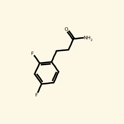 NC(=O)C[CH]c1ccc(F)cc1F